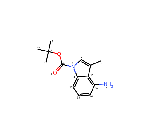 Cc1cn(C(=O)OC(C)(C)C)c2cccc(N)c12